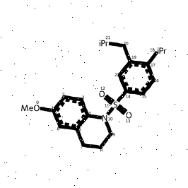 COc1ccc2c(c1)CCCN2S(=O)(=O)c1ccc(C(C)C)c(CC(C)C)c1